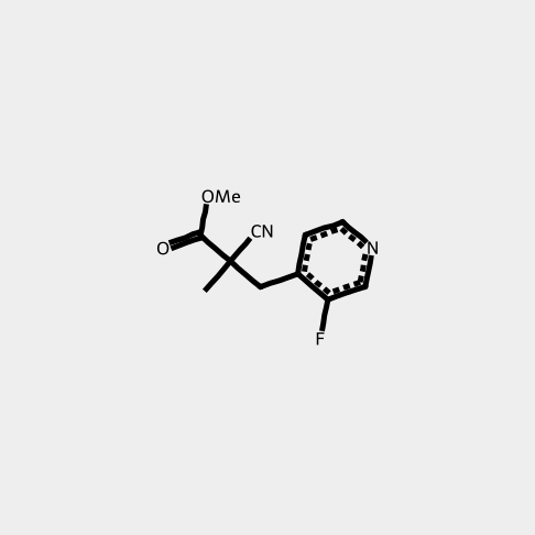 COC(=O)C(C)(C#N)Cc1ccncc1F